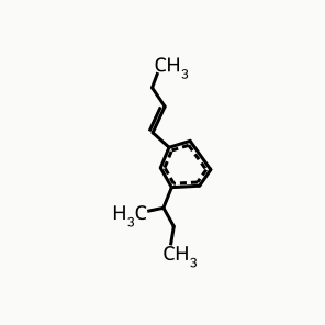 CC/C=C/c1cccc(C(C)CC)c1